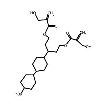 C=C(CO)C(=O)OCCC(CCOC(=O)C(=C)CO)C1CCC(C2CCC(CCCC)CC2)CC1